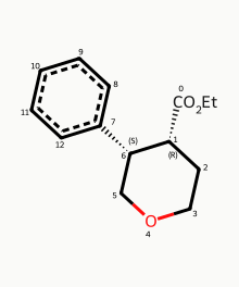 CCOC(=O)[C@@H]1CCOC[C@@H]1c1ccccc1